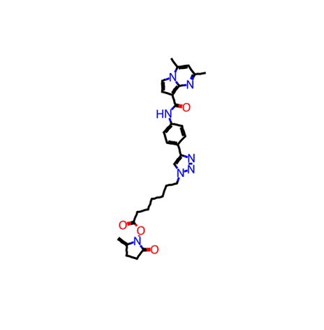 C=C1CCC(=O)N1OC(=O)CCCCCCn1cc(-c2ccc(NC(=O)c3ccn4c(C)cc(C)nc34)cc2)nn1